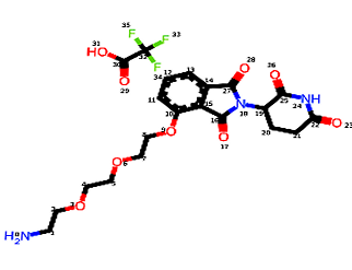 NCCOCCOCCOc1cccc2c1C(=O)N(C1CCC(=O)NC1=O)C2=O.O=C(O)C(F)(F)F